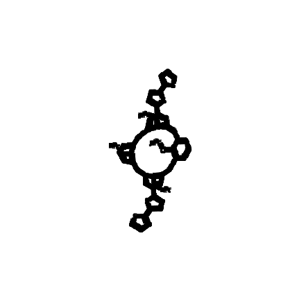 CCCOc1c2cccc1Cc1cc(-c3ccc(-c4cccs4)s3)cc(c1OCCC)Cc1cccc(c1OCCC)Cc1cc(-c3ccc(-c4cccs4)s3)cc(c1OCCC)C2